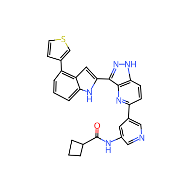 O=C(Nc1cncc(-c2ccc3[nH]nc(-c4cc5c(-c6ccsc6)cccc5[nH]4)c3n2)c1)C1CCC1